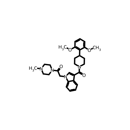 COc1cccc(OC)c1C1CCN(C(=O)c2cn(CC(=O)N3CCN(C)CC3)c3ccccc23)CC1